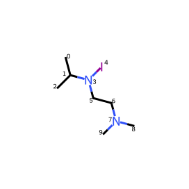 CC(C)N(I)CCN(C)C